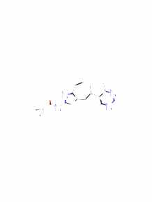 Cc1ncnc(C)c1C1=Cc2sc(NC(=O)C3CC3)nc2C=C[C@@H]1C